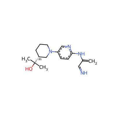 C=C(C=N)Nc1ccc(N2CCC[C@@H](C(C)(C)O)C2)cn1